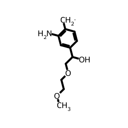 [CH2]c1ccc(C(O)COCCOC)cc1N